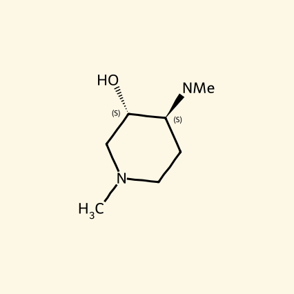 CN[C@H]1CCN(C)C[C@@H]1O